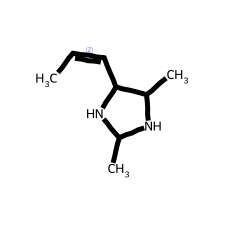 C/C=C\C1NC(C)NC1C